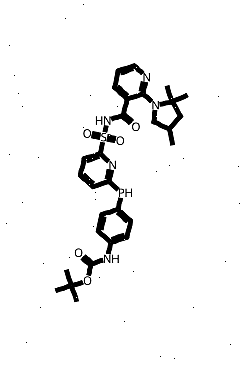 CC1CN(c2ncccc2C(=O)NS(=O)(=O)c2cccc(Pc3ccc(NC(=O)OC(C)(C)C)cc3)n2)C(C)(C)C1